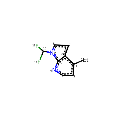 CCc1ccnc2c1ccn2C(F)F